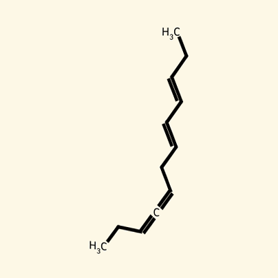 CCC=C=CCC=CC=CCC